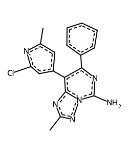 Cc1cc(-c2c(-c3ccccc3)nc(N)n3nc(C)nc23)cc(Cl)n1